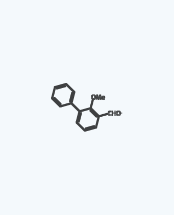 COc1c([C]=O)cccc1-c1ccccc1